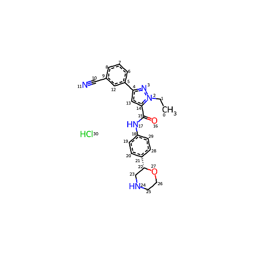 CCn1nc(-c2cccc(C#N)c2)cc1C(=O)Nc1ccc([C@H]2CNCCO2)cc1.Cl